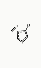 C=O.Clc1ccsc1